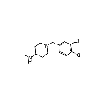 CNC1CCN(Cc2ccc(Cl)c(Cl)c2)CC1